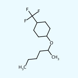 CCCCC(C)OC1CCC(C(F)(F)F)CC1